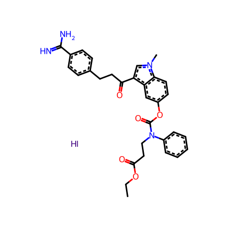 CCOC(=O)CCN(C(=O)Oc1ccc2c(c1)c(C(=O)CCc1ccc(C(=N)N)cc1)cn2C)c1ccccc1.I